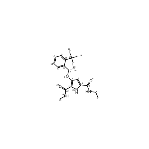 CCNC(=O)c1cc(O[C@@H](C)c2ccccc2C(F)(F)F)c(C(=O)NC)[nH]1